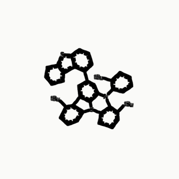 CC(C)(C)c1ccccc1N1c2cc(-c3cccc4sc5ccccc5c34)cc3c2B(c2cccc(C(C)(C)C)c2-3)c2cccc(C(C)(C)C)c21